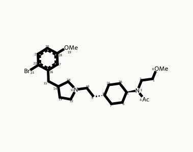 COCCN(C(C)=O)[C@H]1CC[C@H](CCN2CCC(Cc3cc(OC)ccc3Br)C2)CC1